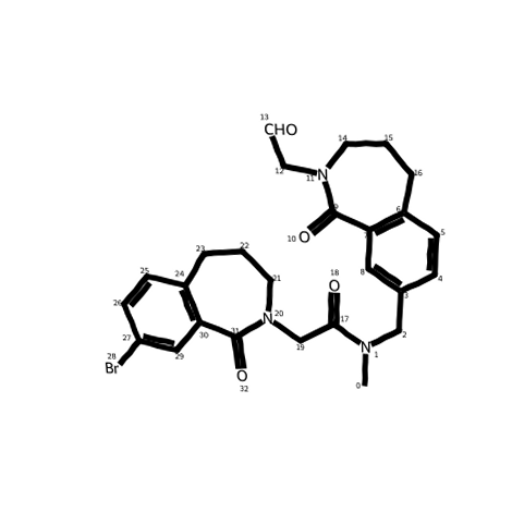 CN(Cc1ccc2c(c1)C(=O)N(CC=O)CCC2)C(=O)CN1CCCc2ccc(Br)cc2C1=O